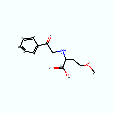 COCCC(NCC(=O)c1ccccc1)C(=O)O